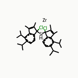 CC1=C(C)C(Cl)([SiH2]C2(Cl)C(C)=C(C)c3c2ccc(C(C)C)c3C(C)C)c2ccc(C(C)C)c(C(C)C)c21.[Zr]